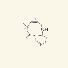 C=C1/C=C(C)\C=C/CNC2=C1C=C(C)CC2